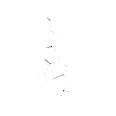 C=CCOC(=O)N[C@@H](CC(=O)OC(C)(C)C)C(=O)CBr